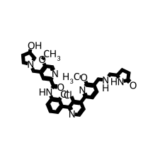 COc1cnc(C(=O)Nc2cccc(-c3nccc(-c4ccc(CNCC5CCC(=O)N5)c(OC)n4)c3Cl)c2Cl)cc1CN1CCC(O)C1